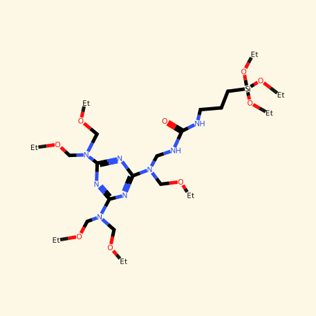 CCOCN(CNC(=O)NCCC[Si](OCC)(OCC)OCC)c1nc(N(COCC)COCC)nc(N(COCC)COCC)n1